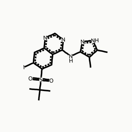 Cc1[nH]nc(Nc2ncnc3cc(I)c(S(=O)(=O)C(C)(C)C)cc23)c1C